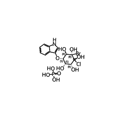 O=P(O)(O)O.O[C@@H]1[C@H](Oc2c[nH]c3ccccc23)[C@@H](O)[C@@](O)(Br)[C@](O)(Cl)[C@@H]1O